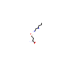 CCCC(=N)CCNS(=O)(=O)CC[C@H](N)C(=O)O